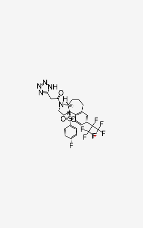 O=C(Cc1nnn[nH]1)N1CC[C@@]2(S(=O)(=O)c3ccc(F)cc3)c3ccc(C(F)(C(F)(F)F)C(F)(F)F)cc3CCC[C@@H]12